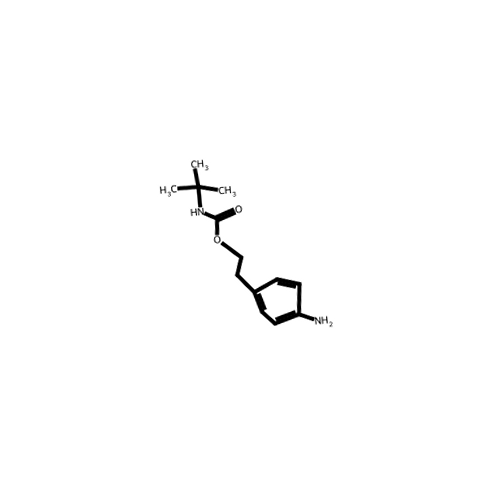 CC(C)(C)NC(=O)OCCc1ccc(N)cc1